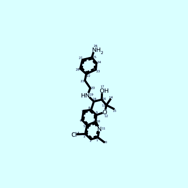 Cc1cc(Cl)c2ccc3c(c2n1)OC(C)(C)C(O)C3NCCc1ccc(N)cc1